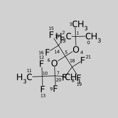 CC(C)(C)OC(OC(C)(F)C(C)(F)F)(C(F)(F)F)C(F)(F)F